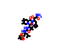 CC(C)C[C@@](C)(CS(=O)(=O)C(C)(C)C)NC(=O)N[C@H](C(=O)N1CC(C)C(C)(C)C[C@H]1C(=O)NC(CC1CCC1)C(=O)C(N)=O)C(C)(C)C